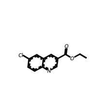 CCOC(=O)c1cnc2ccc(Cl)cc2c1